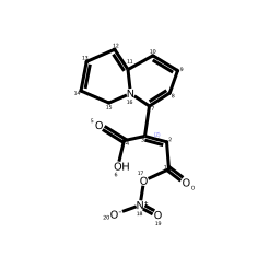 O=C(/C=C(\C(=O)O)C1=CC=CC2=CC=CCN21)O[N+](=O)[O-]